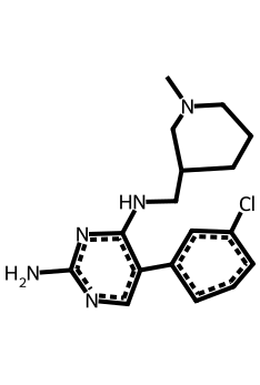 CN1CCCC(CNc2nc(N)ncc2-c2cccc(Cl)c2)C1